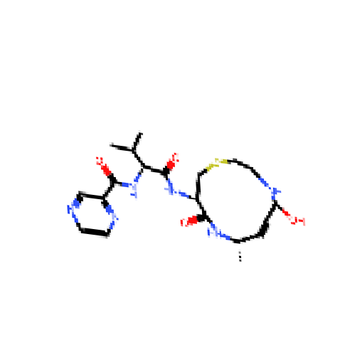 CC(C)[C@H](NC(=O)c1cnccn1)C(=O)N[C@H]1CSCCNC(O)/C=C/[C@H](C)NC1=O